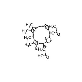 CCC(=O)O.CCC(=O)O.CCC1=C(C)C2=NC1=C(CC)C1=NC(=CC3=NC(=CC4=NC(=C2C)C(C)=C4C)C=C3)C=C1